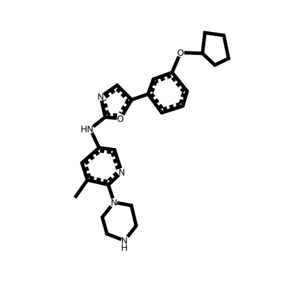 Cc1cc(Nc2ncc(-c3cccc(OC4CCCC4)c3)o2)cnc1N1CCNCC1